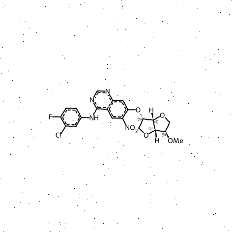 CO[C@@H]1CO[C@@H]2[C@H]1OC[C@@H]2Oc1cc2ncnc(Nc3ccc(F)c(Cl)c3)c2cc1[N+](=O)[O-]